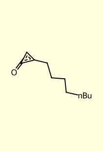 CCCCCCCCc1cc1=O